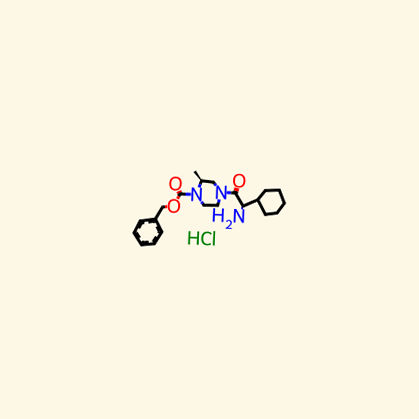 C[C@H]1CN(C(=O)[C@@H](N)C2CCCCC2)CCN1C(=O)OCc1ccccc1.Cl